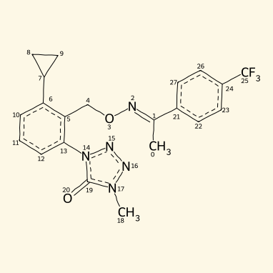 CC(=NOCc1c(C2CC2)cccc1-n1nnn(C)c1=O)c1ccc(C(F)(F)F)cc1